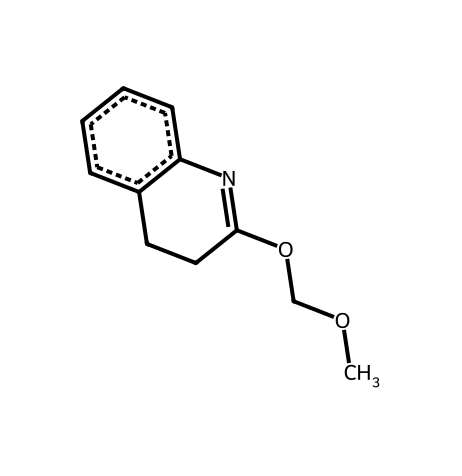 COCOC1=Nc2ccccc2CC1